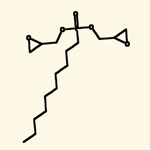 CCCCCCCCCCP(=O)(OCC1CO1)OCC1CO1